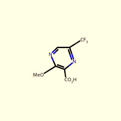 COc1ncc(C(F)(F)F)nc1C(=O)O